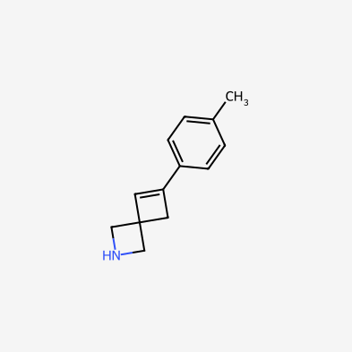 Cc1ccc(C2=CC3(CNC3)C2)cc1